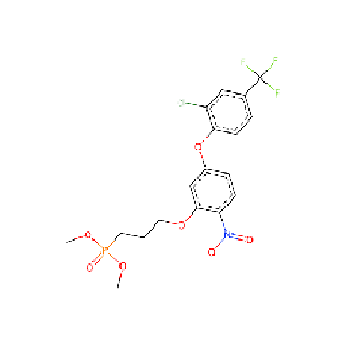 COP(=O)(CCCOc1cc(Oc2ccc(C(F)(F)F)cc2Cl)ccc1[N+](=O)[O-])OC